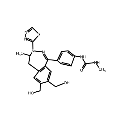 CNC(=O)Nc1ccc(C2=NN(c3nncs3)C(C)Cc3cc(CO)c(CO)cc32)cc1